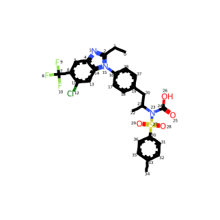 CCc1nc2cc(C(F)(F)F)c(Cl)cc2n1-c1ccc(CC(C)N(C(=O)O)S(=O)(=O)c2ccc(C)cc2)cc1